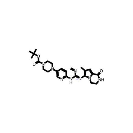 C=N/C(=N\c1c(C)cc2n1CCNC2=O)Nc1ccc(N2CCN(C(=O)OC(C)(C)C)CC2)cn1